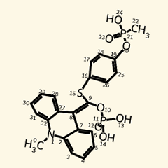 CN1c2ccccc2C(=C(OP(=O)(O)O)Sc2ccc(OP(C)(=O)O)cc2)c2ccccc21